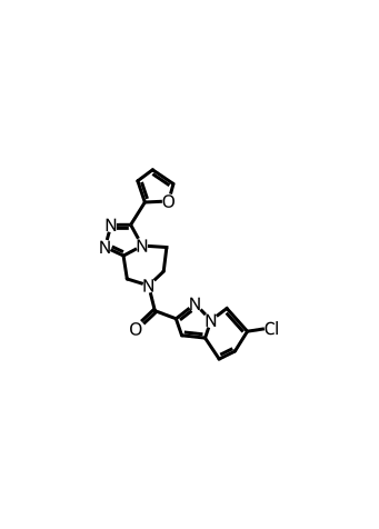 O=C(c1cc2ccc(Cl)cn2n1)N1CCn2c(nnc2-c2ccco2)C1